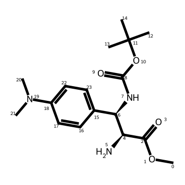 COC(=O)[C@@H](N)[C@H](NC(=O)OC(C)(C)C)c1ccc(N(C)C)cc1